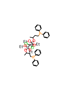 CCO[Si](OCC)(OC(C)CCP(c1ccccc1)c1ccccc1)[Pd]([Cl])([Cl])[Si](OCC)(OCC)OC(C)CCP(c1ccccc1)c1ccccc1